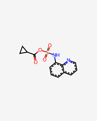 O=C(OS(=O)(=O)Nc1cccc2cccnc12)C1CC1